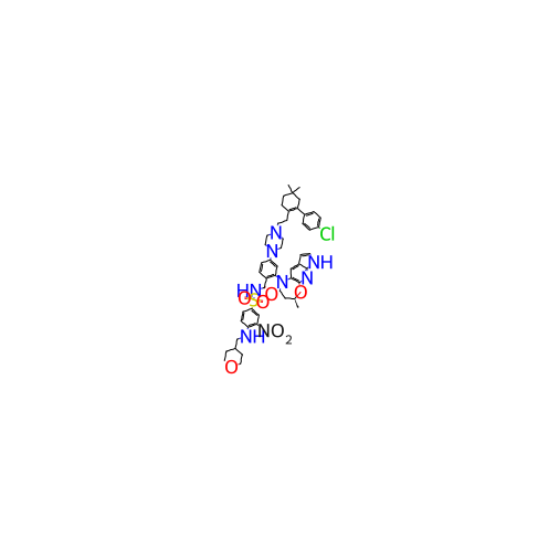 C[C@H]1CCN(c2cc(N3CCN(CCC4=C(c5ccc(Cl)cc5)CC(C)(C)CC4)CC3)ccc2C(=O)NS(=O)(=O)c2ccc(NCC3CCOCC3)c([N+](=O)[O-])c2)c2cc3cc[nH]c3nc2O1